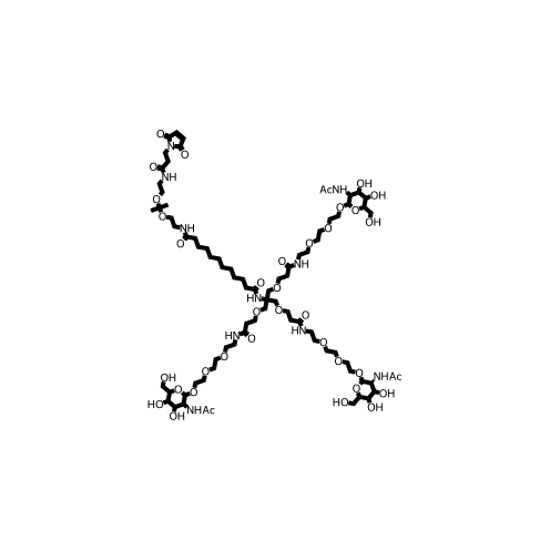 CC(=O)NC1C(OCCOCCOCCNC(=O)CCOCC(COCCC(=O)NCCOCCOCCOC2OC(CO)C(O)C(O)C2NC(C)=O)(COCCC(=O)NCCOCCOCCOC2OC(CO)C(O)C(O)[C@@H]2NC(C)=O)NC(=O)CCCCCCCCCCC(=O)NCCOC(C)(C)OCCNC(=O)CCN2C(=O)C=CC2=O)OC(CO)C(O)C1O